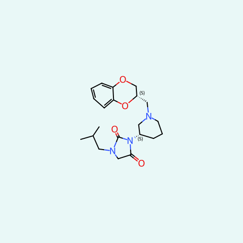 CC(C)CN1CC(=O)N([C@H]2CCCN(C[C@H]3COc4ccccc4O3)C2)C1=O